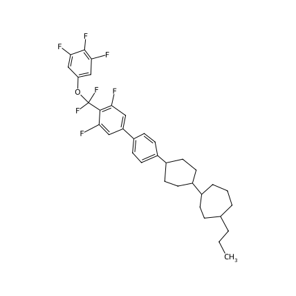 CCCC1CCCC(C2CCC(c3ccc(-c4cc(F)c(C(F)(F)Oc5cc(F)c(F)c(F)c5)c(F)c4)cc3)CC2)CC1